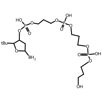 BC1CC(OP(=O)(O)OCCCOP(=O)(O)OCCCOP(=O)(O)OCCCO)C(C(C)(C)C)O1